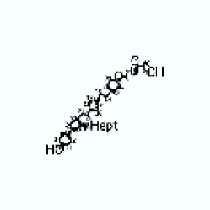 C=C(CO)C(=O)OCCOC1C=CC(CCc2ccc(CCc3ccc(-c4ccc(O)cc4)cc3CCCCCCC)cc2)=CC1